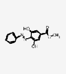 COC(=O)c1cc(O)c(N=Nc2ccccc2)c(O)c1